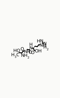 C[C@@H](O)[C@H](N)C(=O)NCC(=O)N[C@@H](CCCNC(=N)N)C(=O)O